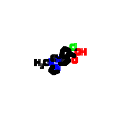 CN(C)[C@@H]1CCCN1c1ccc2c(C(=O)O)c(Cl)ccc2n1